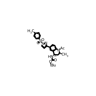 CC(=O)N1c2ccc(-c3ccn(S(=O)(=O)c4ccc(C)cc4)n3)cc2[C@H](NC(=O)OC(C)(C)C)C[C@@H]1C